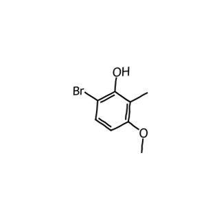 COc1ccc(Br)c(O)c1C